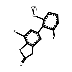 O=C1Cc2cc(-c3c(Cl)cccc3OC(F)(F)F)cc(F)c2N1